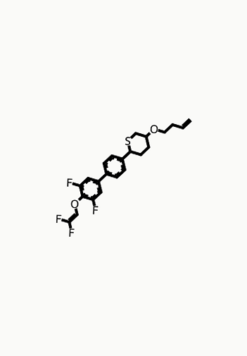 C=CCCOC1CCC(c2ccc(-c3cc(F)c(OC=C(F)F)c(F)c3)cc2)SC1